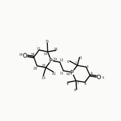 CC1(C)CC(=O)CC(C)(C)P1CCP1C(C)(C)CC(=O)CC1(C)C